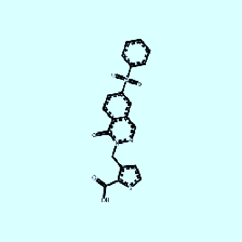 O=C(O)c1sccc1Cn1ncc2cc(S(=O)(=O)c3ccccc3)ccc2c1=O